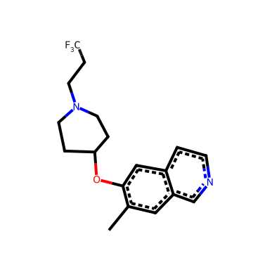 Cc1cc2cnccc2cc1OC1CCN(CCC(F)(F)F)CC1